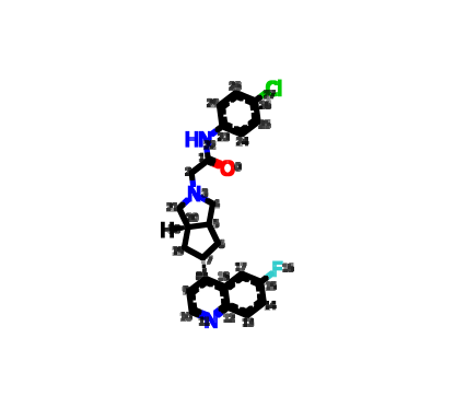 O=C(CN1CC2C[C@H](c3ccnc4ccc(F)cc34)C[C@@H]2C1)Nc1ccc(Cl)cc1